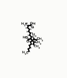 CCCCCCCC(C(C)CC)(C(C)CC)C(CCCCCCC(C)C(=O)O)C(=O)O